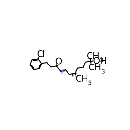 C[C@@H](C/C=C/C(=O)CCc1ccccc1Cl)CCCC(C)(C)O